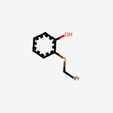 CC(C)CSc1ccccc1O